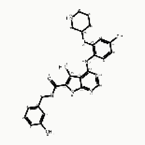 Cc1cccc(CNC(=O)c2sc3ncnc(Nc4ccc(F)cc4OC4CCCNC4)c3c2C)c1